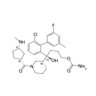 CN[C@H]1CC[C@@H](C(=O)N2CCC[C@@H]([C@@](O)(CCCOC(N)=O)c3cccc(Cl)c3-c3cc(C)cc(F)c3)C2)C1